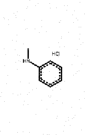 CNc1ccccc1.Cl